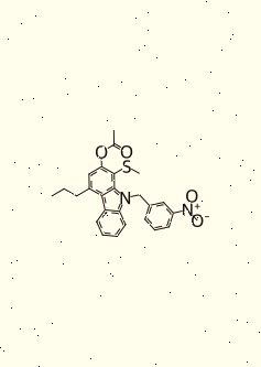 CCCc1cc(OC(C)=O)c(SC)c2c1c1ccccc1n2Cc1cccc([N+](=O)[O-])c1